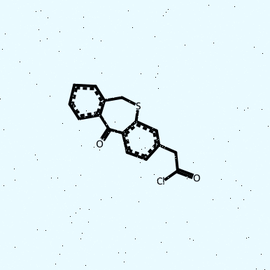 O=C(Cl)Cc1ccc2c(c1)SCc1ccccc1C2=O